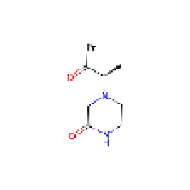 CC(C)C(=O)[C@@H](C)N1CCNC(=O)C1